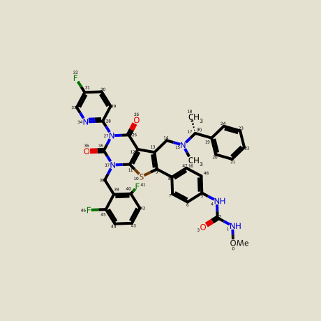 CONC(=O)Nc1ccc(-c2sc3c(c2CN(C)[C@H](C)c2ccccc2)c(=O)n(-c2ccc(F)cn2)c(=O)n3Cc2c(F)cccc2F)cc1